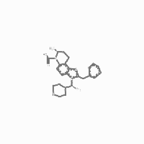 C[C@H]1CCc2c(ccc3c2nc(Cc2ccccc2)n3[C@@H](C)C2CCNCC2)N1C(=O)O